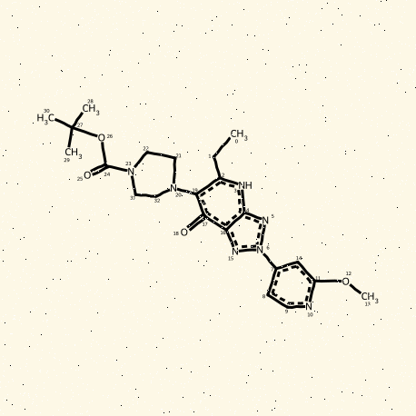 CCc1[nH]c2nn(-c3ccnc(OC)c3)nc2c(=O)c1N1CCN(C(=O)OC(C)(C)C)CC1